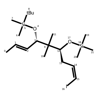 C/C=C/[C@H](O[Si](C)(C)C(C)(C)C)C(C)(C)[C@H](C/C=C\I)O[Si](C)(C)C